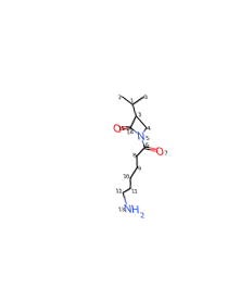 CC(C)C1CN(C(=O)CCCCCN)C1=O